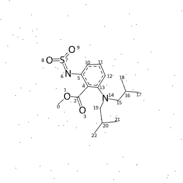 COC(=O)c1c(N=S(=O)=O)cccc1N(CC(C)C)CC(C)C